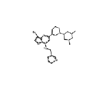 CC1CC(C)CC(N2CCCC(c3cc(NCc4cccnc4)n4ncc(Br)c4n3)C2)C1